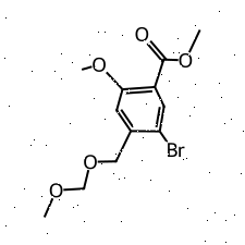 COCOCc1cc(OC)c(C(=O)OC)cc1Br